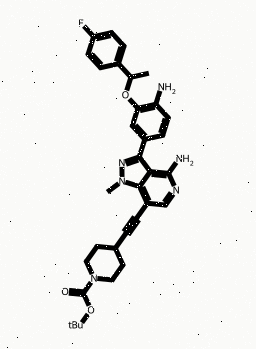 CC(Oc1cc(-c2nn(C)c3c(C#CC4CCN(C(=O)OC(C)(C)C)CC4)cnc(N)c23)ccc1N)c1ccc(F)cc1